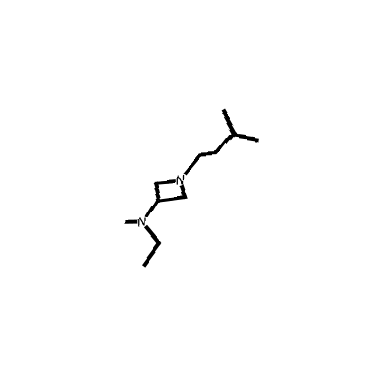 CCN(C)C1CN(CCC(C)C)C1